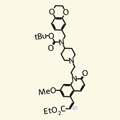 CCOC(=O)/C=C\c1cc(OC)cc2c1ccc(=O)n2CCN1CCC(N(Cc2ccc3c(c2)OCCO3)C(=O)OC(C)(C)C)CC1